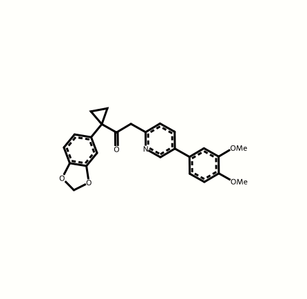 COc1ccc(-c2ccc(CC(=O)C3(c4ccc5c(c4)OCO5)CC3)nc2)cc1OC